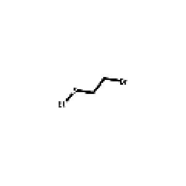 [CH2]CSCCBr